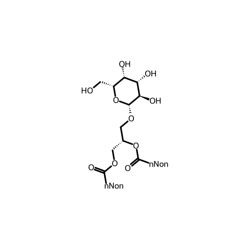 CCCCCCCCCC(=O)OC[C@H](CO[C@@H]1O[C@H](CO)[C@H](O)[C@H](O)[C@H]1O)OC(=O)CCCCCCCCC